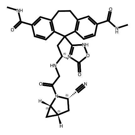 CNC(=O)c1ccc2c(c1)CCc1cc(C(=O)NC)ccc1C2(C[C@H](C)NCC(=O)N1[C@H](C#N)C[C@@H]2C[C@@H]21)c1nc(=O)o[nH]1